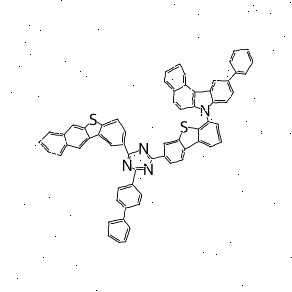 c1ccc(-c2ccc(-c3nc(-c4ccc5c(c4)sc4c(-n6c7ccc(-c8ccccc8)cc7c7c8ccccc8ccc76)cccc45)nc(-c4ccc5sc6cc7ccccc7cc6c5c4)n3)cc2)cc1